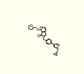 O=C1c2c(ccnc2OCC2CCCO2)CN1Cc1ccc(-c2cnn(CC3CC3)c2)cc1